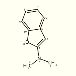 CN(C)c1cc2ccccc2o1